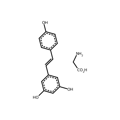 NCC(=O)O.Oc1ccc(C=Cc2cc(O)cc(O)c2)cc1